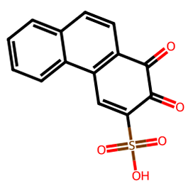 O=C1C(=O)c2ccc3ccccc3c2C=C1S(=O)(=O)O